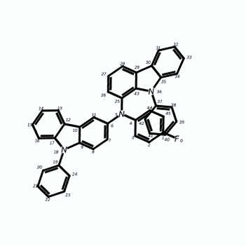 Fc1ccc(N(c2ccc3c(c2)c2ccccc2n3-c2ccccc2)c2cccc3c4ccccc4n(-c4ccccc4)c23)cc1